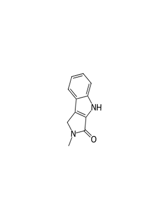 CN1Cc2c([nH]c3ccccc23)C1=O